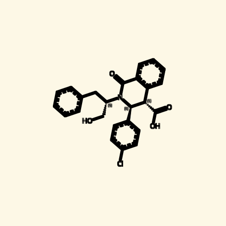 O=C(O)[C@H]1c2ccccc2C(=O)N([C@H](CO)Cc2ccccc2)[C@@H]1c1ccc(Cl)cc1